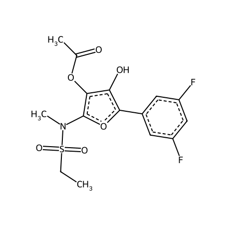 CCS(=O)(=O)N(C)c1oc(-c2cc(F)cc(F)c2)c(O)c1OC(C)=O